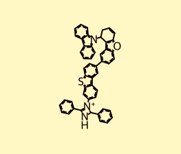 C1=Cc2oc3ccc(-c4ccc5sc6cc([N+]7=C(c8ccccc8)NC7c7ccccc7)ccc6c5c4)cc3c2C(n2c3ccccc3c3ccccc32)C1